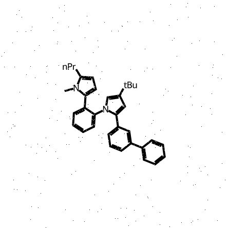 CCCc1ccc(-c2ccccc2-n2cc(C(C)(C)C)cc2-c2cccc(-c3ccccc3)c2)n1C